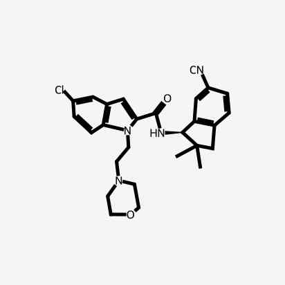 [C-]#[N+]c1ccc2c(c1)[C@H](NC(=O)c1cc3cc(Cl)ccc3n1CCN1CCOCC1)C(C)(C)C2